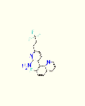 Nc1nc(CCC(F)(F)F)ccc1-c1c(F)ccc2cccnc12